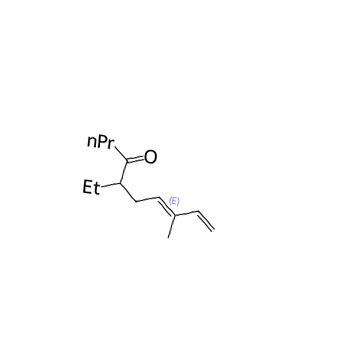 C=C/C(C)=C/CC(CC)C(=O)CCC